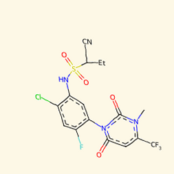 CCC(C#N)S(=O)(=O)Nc1cc(-n2c(=O)cc(C(F)(F)F)n(C)c2=O)c(F)cc1Cl